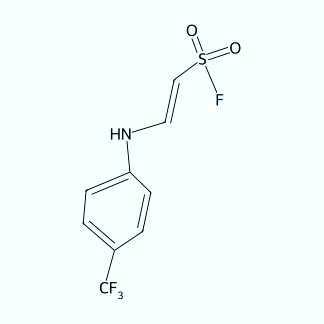 O=S(=O)(F)C=CNc1ccc(C(F)(F)F)cc1